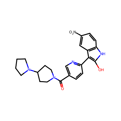 O=C(c1ccc(-c2c(O)[nH]c3ccc([N+](=O)[O-])cc23)nc1)N1CCC(N2CCCC2)CC1